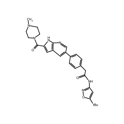 CN1CCN(C(=O)c2cc3cc(-c4ccc(CC(=O)Nc5cc(C(C)(C)C)on5)cc4)cnc3[nH]2)CC1